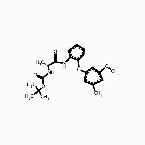 COc1cc(C)cc(Oc2ccccc2NC(=O)[C@@H](C)NC(=O)OC(C)(C)C)c1